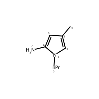 CCCn1cc(C)cc1N